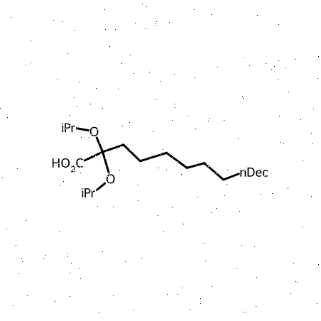 CCCCCCCCCCCCCCCCC(OC(C)C)(OC(C)C)C(=O)O